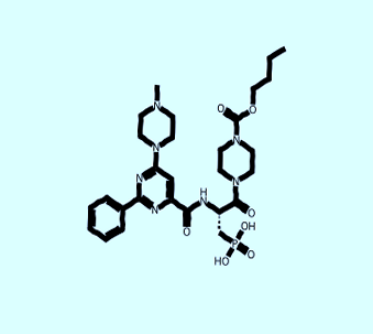 CCCCOC(=O)N1CCN(C(=O)[C@H](CP(=O)(O)O)NC(=O)c2cc(N3CCN(C)CC3)nc(-c3ccccc3)n2)CC1